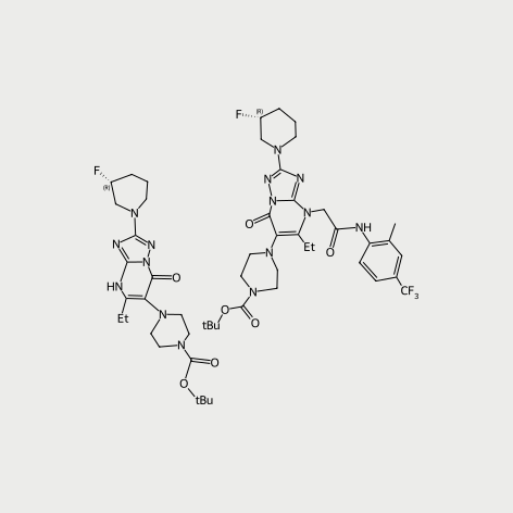 CCc1[nH]c2nc(N3CCC[C@@H](F)C3)nn2c(=O)c1N1CCN(C(=O)OC(C)(C)C)CC1.CCc1c(N2CCN(C(=O)OC(C)(C)C)CC2)c(=O)n2nc(N3CCC[C@@H](F)C3)nc2n1CC(=O)Nc1ccc(C(F)(F)F)cc1C